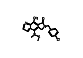 CSN(C)c1c2c(c(O)c3ncccc13)C(=O)N(Cc1ccc(Cl)cc1)C2